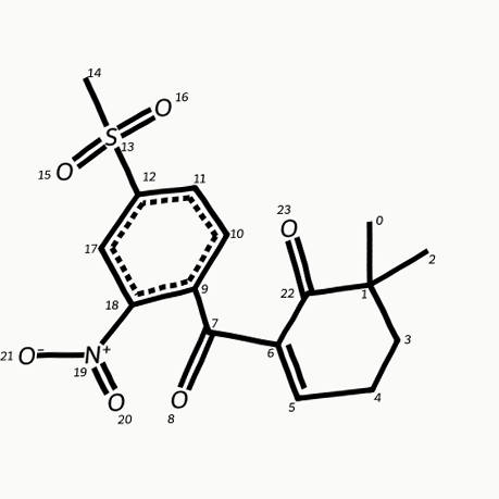 CC1(C)CCC=C(C(=O)c2ccc(S(C)(=O)=O)cc2[N+](=O)[O-])C1=O